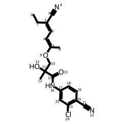 CC/C(C#N)=C\C=C(/C)OCC(C)(O)C(=O)Nc1ccc(C#N)c(Cl)c1